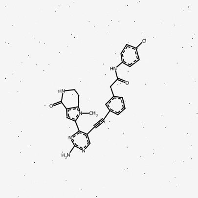 Cn1c(-c2nc(N)ncc2C#Cc2cccc(CC(=O)Nc3ccc(Cl)cc3)c2)cc2c1CCNC2=O